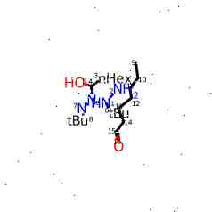 CC(C)(C)NN.CCCCCCC(O)/N=N/C(C)(C)C.CCCCCCC=O